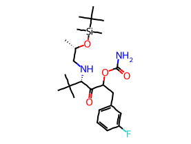 C[C@@H](CN[C@H](C(=O)C(Cc1cccc(F)c1)OC(N)=O)C(C)(C)C)O[Si](C)(C)C(C)(C)C